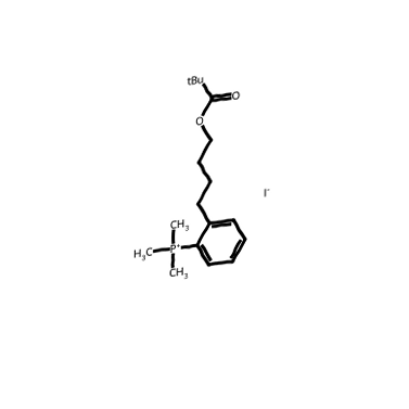 CC(C)(C)C(=O)OCCCCc1ccccc1[P+](C)(C)C.[I-]